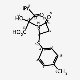 Cc1ccc(SC2CC(=O)N2C(O)(C(=O)O)C(=O)C(C)C)cc1